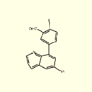 CC(C)c1cc(-c2ccc(F)c(C=O)c2)c2ncccc2c1